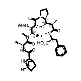 CC[C@H](C)[C@@H]([C@@H](CC(=O)N1CCC[C@H]1[C@H](OC)[C@@H](C)C(=O)N[C@@H](Cc1ccccc1)C(=O)O)OC)N(C)C(=O)[C@@H](NC(=O)C1N[C@H]2CCC1C2)C(C)C